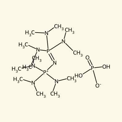 CN(C)P(=N[P+](N(C)C)(N(C)C)N(C)C)(N(C)C)N(C)C.O=P([O-])(O)O